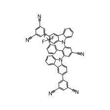 N#Cc1cc(C#N)cc(-c2ccc3c(c2)c2ccccc2n3-c2cc(C#N)cc(-n3c4ccccc4c4cc(-c5cc(C#N)cc(C#N)c5)ccc43)c2-c2cccc(C(F)(F)F)c2)c1